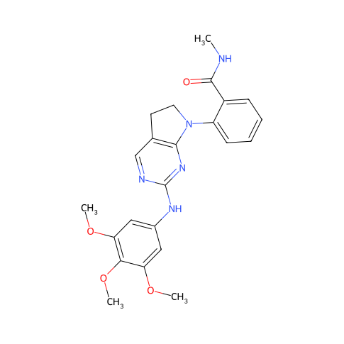 CNC(=O)c1ccccc1N1CCc2cnc(Nc3cc(OC)c(OC)c(OC)c3)nc21